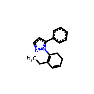 CCC1=C(n2nccc2-c2ccccc2)CCC=C1